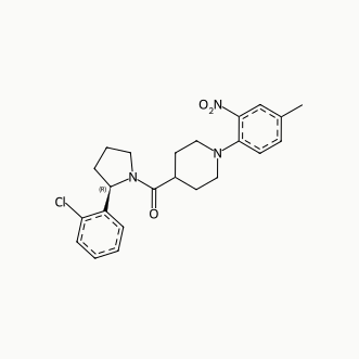 Cc1ccc(N2CCC(C(=O)N3CCC[C@@H]3c3ccccc3Cl)CC2)c([N+](=O)[O-])c1